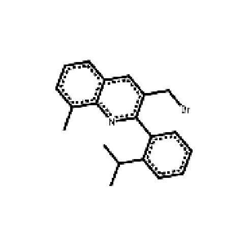 Cc1cccc2cc(CBr)c(-c3ccccc3C(C)C)nc12